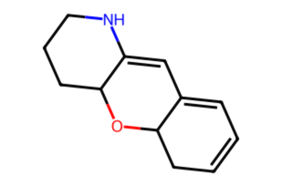 C1=CCC2OC3CCCNC3=CC2=C1